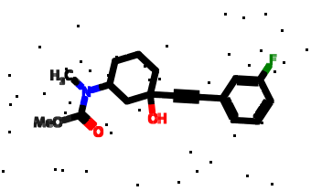 COC(=O)N(C)C1CCCC(O)(C#Cc2cccc(F)c2)C1